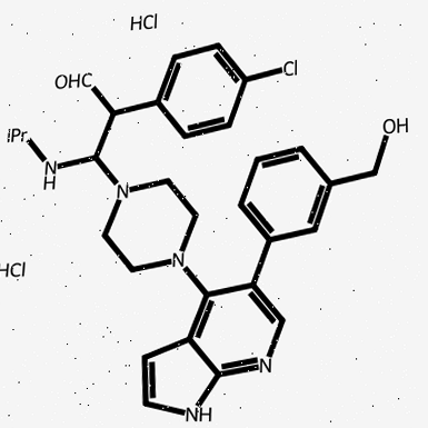 CC(C)NC(C(C=O)c1ccc(Cl)cc1)N1CCN(c2c(-c3cccc(CO)c3)cnc3[nH]ccc23)CC1.Cl.Cl